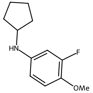 COc1ccc(NC2CCCC2)cc1F